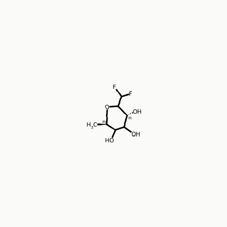 C[C@H]1OC(C(F)F)[C@H](O)C(O)C1O